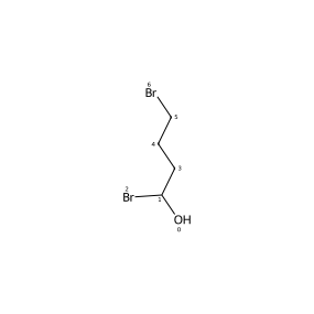 OC(Br)CCCBr